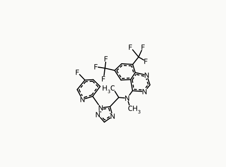 CC(c1ncnn1-c1ccc(F)cn1)N(C)c1ncnc2c(C(F)(F)F)cc(C(F)(F)F)cc12